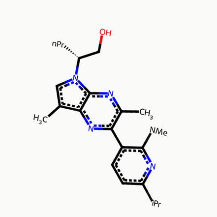 CCC[C@H](CO)n1cc(C)c2nc(-c3ccc(C(C)C)nc3NC)c(C)nc21